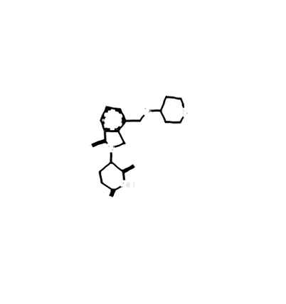 O=C1CCC(N2Cc3c(CNC4CCNCC4)cccc3C2=O)C(=O)N1